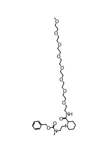 COCCOCCOCCOCCOCCOCCOCCOCCNC(=O)C1CCCCN1CCN(C)C(=O)OCc1ccccc1